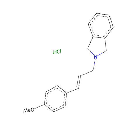 COc1ccc(/C=C/CN2Cc3ccccc3C2)cc1.Cl